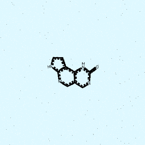 O=c1ncc2cnc3[nH]ccc3c2[nH]1